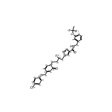 CC(F)(F)Oc1cccc(CNC(=O)c2cn(CC(F)CCn3ccc(COc4ccc(Cl)cc4)cc3=O)nn2)c1